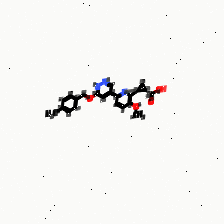 COc1ccc(-c2cnnc(OCc3ccc(C)cc3)c2)nc1[C@H]1C[C@@H]1C(=O)O